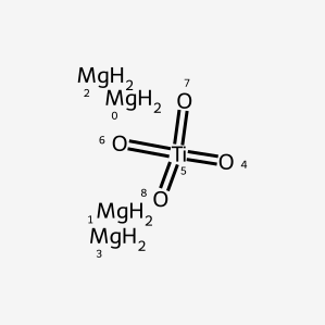 [MgH2].[MgH2].[MgH2].[MgH2].[O]=[Ti](=[O])(=[O])=[O]